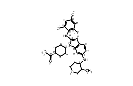 C[C@H]1COCC[C@H]1Nc1ncc2nc(Nc3c(F)cc(Cl)cc3Cl)n([C@H]3CC[C@H](C(N)=O)CC3)c2n1